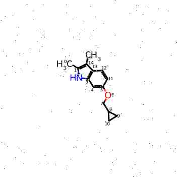 Cc1[nH]c2cc(OCC3CC3)ccc2c1C